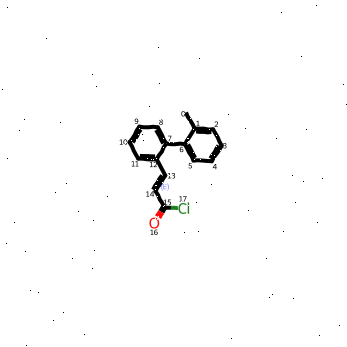 Cc1ccccc1-c1ccccc1/C=C/C(=O)Cl